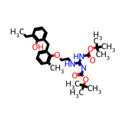 CCc1cccc(Cc2cccc(C)c2OCCN/C(=N\C(=O)OC(C)(C)C)NC(=O)OC(C)(C)C)c1O